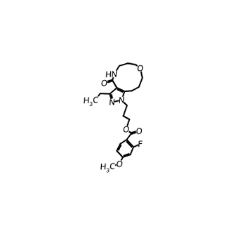 CCc1nn(CCCOC(=O)c2ccc(OC)cc2F)c2c1C(=O)NCCCOCCC2